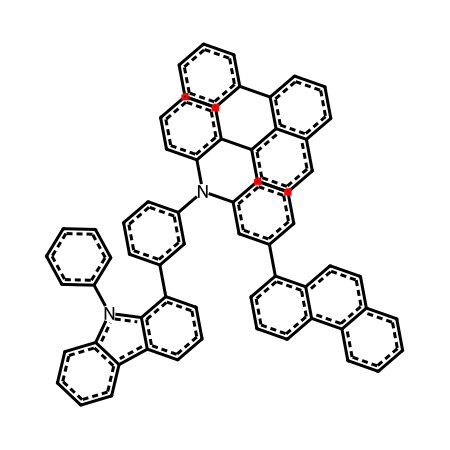 c1ccc(-c2cccc3cccc(-c4ccccc4N(c4cccc(-c5cccc6c5ccc5ccccc56)c4)c4cccc(-c5cccc6c7ccccc7n(-c7ccccc7)c56)c4)c23)cc1